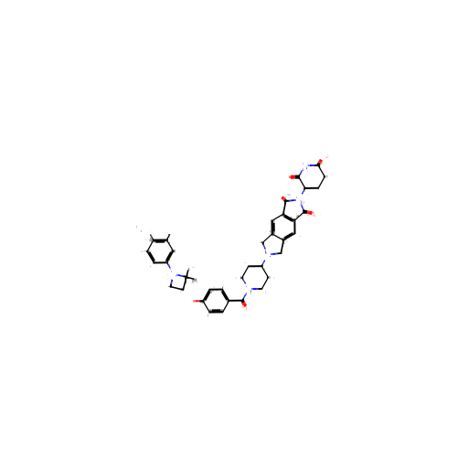 Cc1cc(N2C[C@@H](Oc3ccc(C(=O)N4CCC(N5Cc6cc7c(cc6C5)C(=O)N(C5CCC(=O)NC5=O)C7=O)CC4)cc3)C2(C)C)ccc1C#N